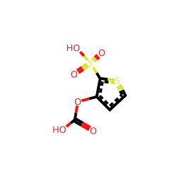 O=C(O)Oc1ccsc1S(=O)(=O)O